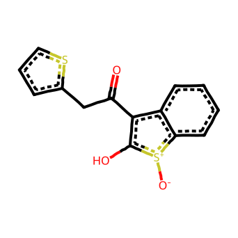 O=C(Cc1cccs1)c1c(O)[s+]([O-])c2ccccc12